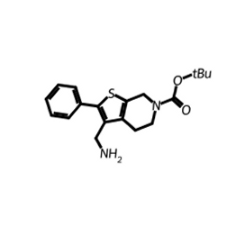 CC(C)(C)OC(=O)N1CCc2c(sc(-c3ccccc3)c2CN)C1